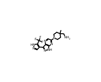 CC1(CN)CCN(c2cnc3c(-c4cn[nH]c4C(F)(F)F)n[nH]c3n2)CC1